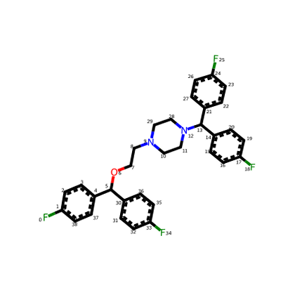 Fc1ccc(C(OCCN2CCN(C(c3ccc(F)cc3)c3ccc(F)cc3)CC2)c2ccc(F)cc2)cc1